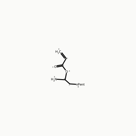 C=CC(=O)OC(N)CCCCCC